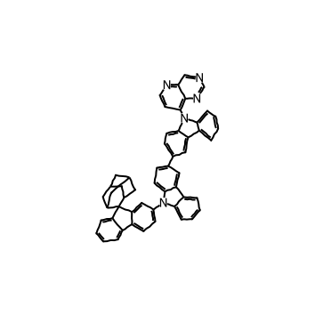 c1ccc2c(c1)-c1ccc(-n3c4ccccc4c4cc(-c5ccc6c(c5)c5ccccc5n6-c5ccnc6cncnc56)ccc43)cc1C21C2CC3CC(C2)CC1C3